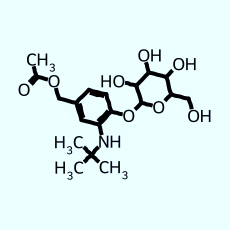 CC(=O)OCc1ccc(OC2OC(CO)C(O)C(O)C2O)c(NC(C)(C)C)c1